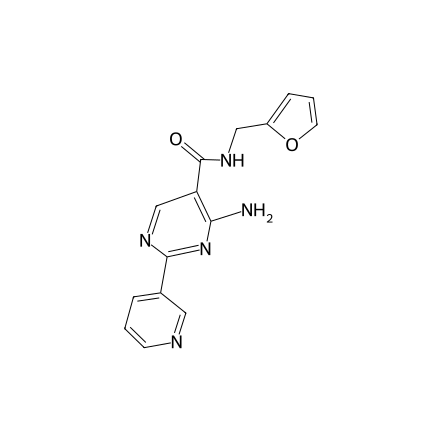 Nc1nc(-c2cccnc2)ncc1C(=O)NCc1ccco1